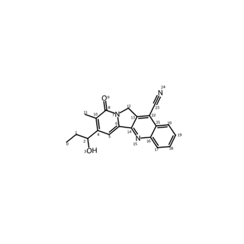 CCC(O)c1cc2n(c(=O)c1C)Cc1c-2nc2ccccc2c1C#N